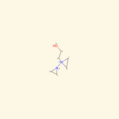 OCC[N+]1(N2CC2)CC1